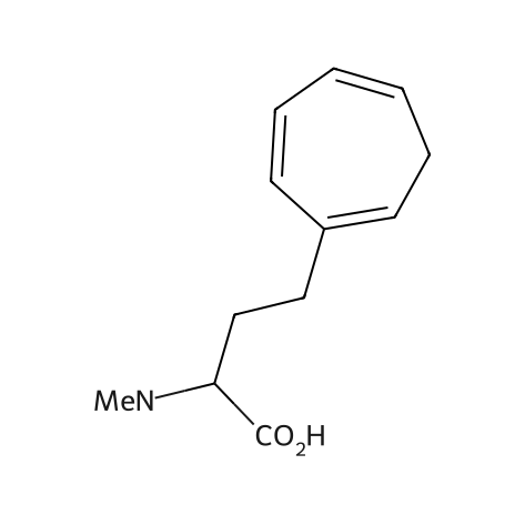 CNC(CCC1=CCC=CC=C1)C(=O)O